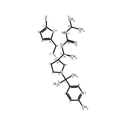 Cc1ccc(C(C)(C)N2CC[C@@](CCc3ccc(F)s3)([C@H](C)OC(=O)NC(C)C)C2)cn1